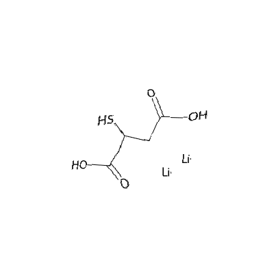 O=C(O)CC(S)C(=O)O.[Li].[Li]